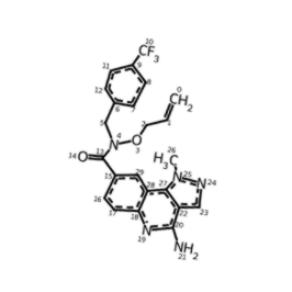 C=CCON(Cc1ccc(C(F)(F)F)cc1)C(=O)c1ccc2nc(N)c3cnn(C)c3c2c1